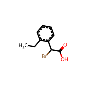 CCc1ccccc1C(Br)C(=O)O